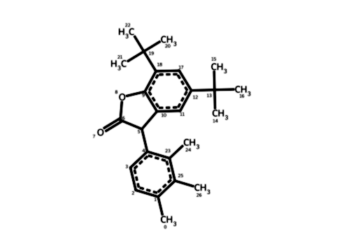 Cc1ccc(C2C(=O)Oc3c2cc(C(C)(C)C)cc3C(C)(C)C)c(C)c1C